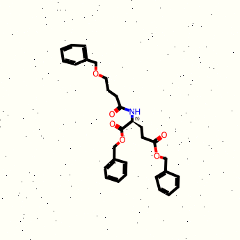 O=C(CCCOCc1ccccc1)N[C@@H](CCC(=O)OCc1ccccc1)C(=O)OCc1ccccc1